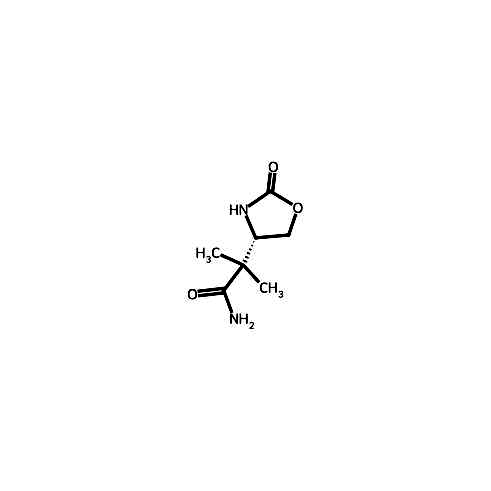 CC(C)(C(N)=O)[C@H]1COC(=O)N1